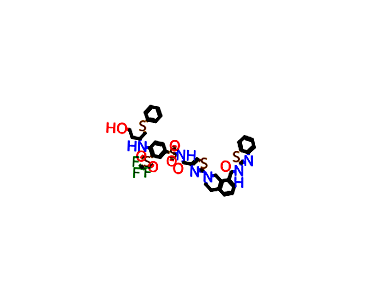 O=C(NS(=O)(=O)c1ccc(NC(CCO)CSc2ccccc2)c(S(=O)(=O)C(F)(F)F)c1)c1csc(N2CCc3cccc(C(=O)Nc4nc5ccccc5s4)c3C2)n1